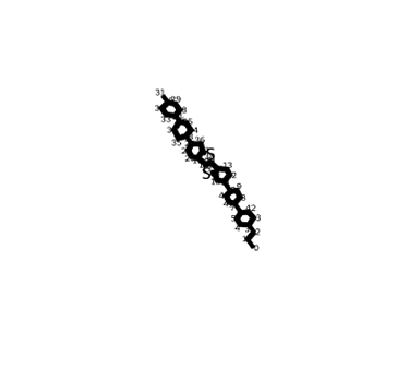 CC=Cc1ccc(-c2ccc(-c3ccc4c(c3)sc3c5ccc(-c6ccc(-c7ccc(C)cc7)cc6)cc5sc43)cc2)cc1